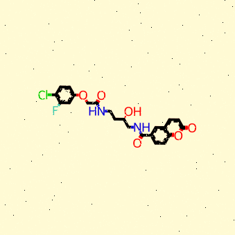 O=C(COc1ccc(Cl)c(F)c1)NCC[C@H](O)CNC(=O)c1ccc2oc(=O)ccc2c1